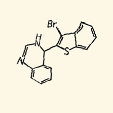 Brc1c(C2NC=Nc3ccccc32)sc2ccccc12